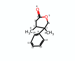 CC1CC(=O)OCC1(C)c1ccccc1